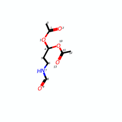 CC(=O)OC(CCNC=O)OC(C)=O